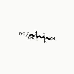 CCOC(=O)[C@H](C)CCNC(=O)CCC(=O)NCCC#N